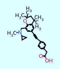 CN(Cc1cc(C#Cc2ccc(CC(=O)O)cc2)cc2c1OC(C)(C)CC2(C)C)C1CC1